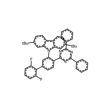 CC(C)(C)c1ccc2c3ccc(C(C)(C)C)cc3n(-c3cc(-c4c(F)cccc4F)ccc3-c3nc(-c4ccccc4)nc(-c4ccccc4)n3)c2c1